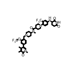 Cc1c(-c2ccc(CN3CCC(N(C)C(=O)C4CCN(c5ccc(NC6CCC(=O)NC6=O)cc5C(F)(F)F)CC4)CC3)c(OC(F)(F)F)c2)cn(C)c(=O)c1C